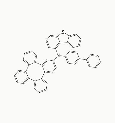 c1ccc(-c2ccc(N(c3ccc4c(c3)-c3ccccc3-c3ccccc3-c3ccccc3-4)c3cccc4sc5ccccc5c34)cc2)cc1